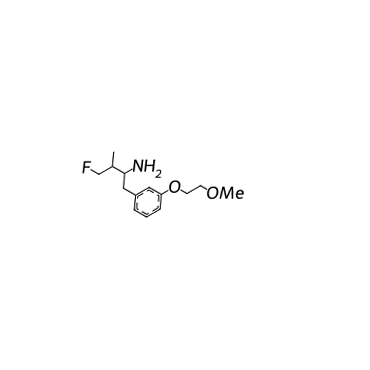 COCCOc1cccc(CC(N)C(C)CF)c1